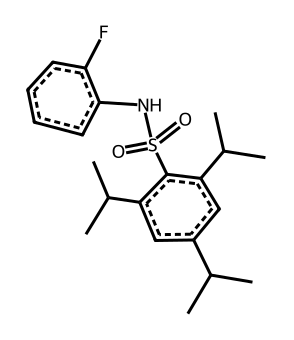 CC(C)c1cc(C(C)C)c(S(=O)(=O)Nc2ccccc2F)c(C(C)C)c1